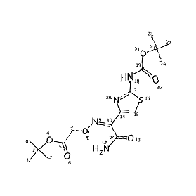 CC(C)(C)OC(=O)CO/N=C(\C(N)=O)c1csc(NC(=O)OC(C)(C)C)n1